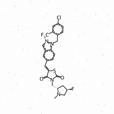 CN1C[C@H](F)C[C@H]1CN1C(=O)S/C(=C\c2ccc3c(cnn3Cc3ccc(Cl)cc3C(F)(F)F)c2)C1=O